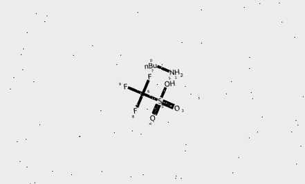 CCCCN.O=S(=O)(O)C(F)(F)F